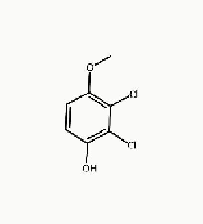 Oc1ccc(OI)c(Cl)c1Cl